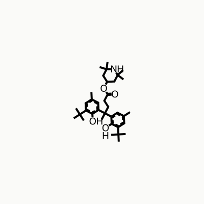 Cc1cc(C(C)(C)C)c(O)c(C(C)(CCC(=O)OC2CC(C)(C)NC(C)(C)C2)c2cc(C)cc(C(C)(C)C)c2O)c1